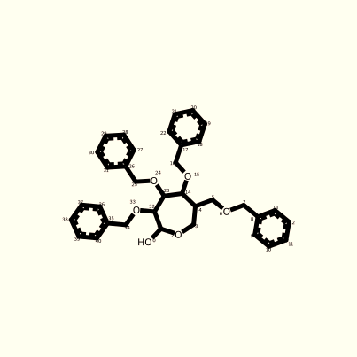 OC1OCC(COCc2ccccc2)C(OCc2ccccc2)C(OCc2ccccc2)C1OCc1ccccc1